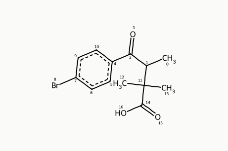 CC(C(=O)c1ccc(Br)cc1)C(C)(C)C(=O)O